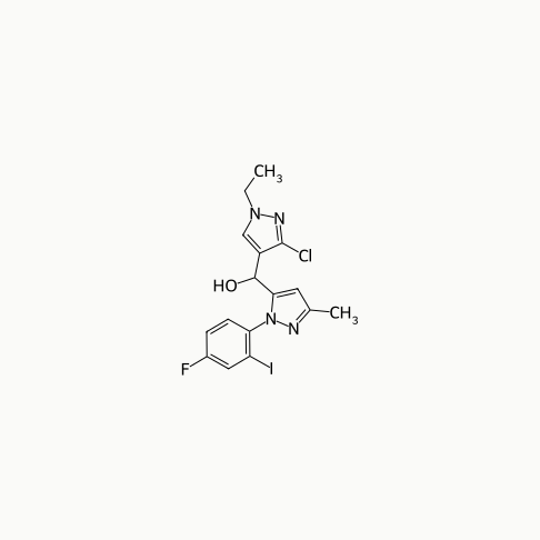 CCn1cc(C(O)c2cc(C)nn2-c2ccc(F)cc2I)c(Cl)n1